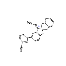 N#C/N=C1\c2cc(-c3cccc(C#N)c3)ccc2CC12Cc1ccccc1C2